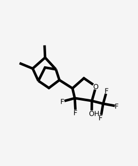 CC1C2CC(C1C)C(C1COC(O)(C(F)(F)F)C1(F)F)C2